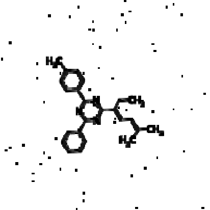 C=C/C(=C\C=C(C)C)c1nc(-c2ccccc2)nc(-c2ccc(C)cc2)n1